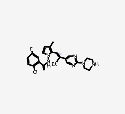 C=C(Nn1ccc(C)c1/C=C(\CC)c1cnc(N2CCNCC2)nc1)c1cc(F)ccc1Cl